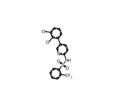 O=S(=O)(Nc1ccc(-c2cccc(Cl)c2Cl)cn1)c1ccccc1C(F)(F)F